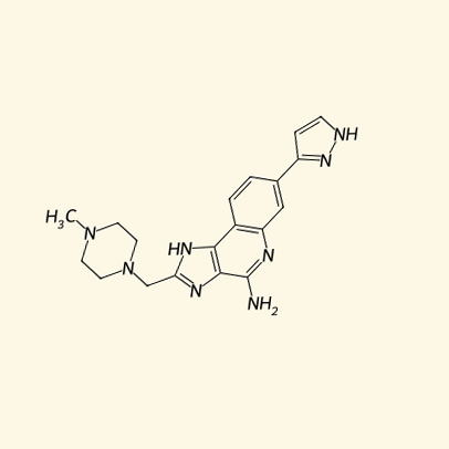 CN1CCN(Cc2nc3c(N)nc4cc(-c5cc[nH]n5)ccc4c3[nH]2)CC1